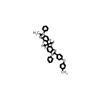 Cc1ccc(Oc2ccc(-c3nc4cc(C(c5ccc6c(c5)nc(C)n6-c5ccccc5)(C(F)(F)F)C(F)(F)F)ccc4n3-c3ccccc3)cc2)cc1